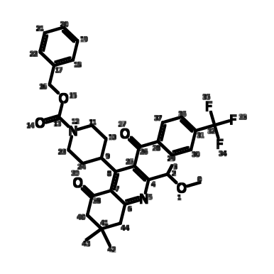 COC(C)c1nc2c(c(C3CCN(C(=O)OCc4ccccc4)CC3)c1C(=O)c1ccc(C(F)(F)F)cc1)C(=O)CC(C)(C)C2